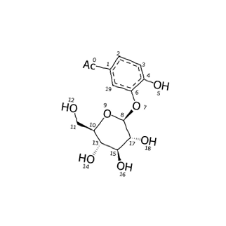 CC(=O)c1ccc(O)c(O[C@@H]2O[C@H](CO)[C@@H](O)[C@H](O)[C@H]2O)c1